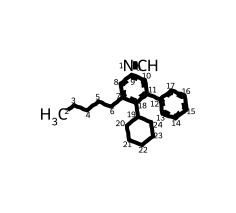 C#N.CCCCCc1cccc(-c2ccccc2)c1C1CCCCC1